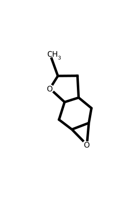 CC1CC2CC3OC3CC2O1